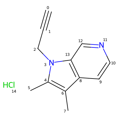 C#CCn1c(C)c(C)c2ccncc21.Cl